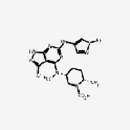 CCn1cc(Nc2nc(N(C)[C@@H]3CC[C@H](C)N(C(=O)O)C3)c3c(Cl)n[nH]c3n2)cn1